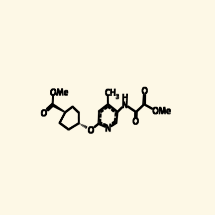 COC(=O)C(=O)Nc1cnc(O[C@H]2CC[C@H](C(=O)OC)CC2)cc1C